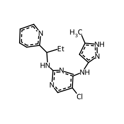 CCC(Nc1ncc(Cl)c(Nc2cc(C)[nH]n2)n1)c1ccccn1